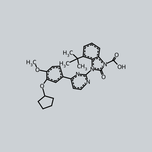 COc1ccc(-c2ccnc(-n3c(=O)n(C(=O)O)c4cccc(C(C)(C)C)c43)n2)cc1OC1CCCC1